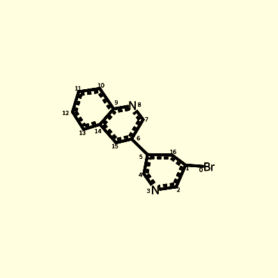 Brc1cncc(-c2cnc3ccccc3c2)c1